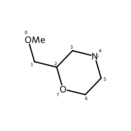 COCC1C[N]CCO1